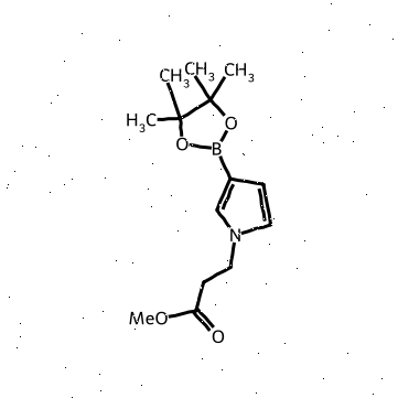 COC(=O)CCn1ccc(B2OC(C)(C)C(C)(C)O2)c1